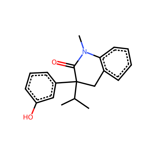 CC(C)C1(c2cccc(O)c2)Cc2ccccc2N(C)C1=O